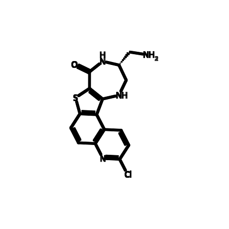 NC[C@@H]1CNc2c(sc3ccc4nc(Cl)ccc4c23)C(=O)N1